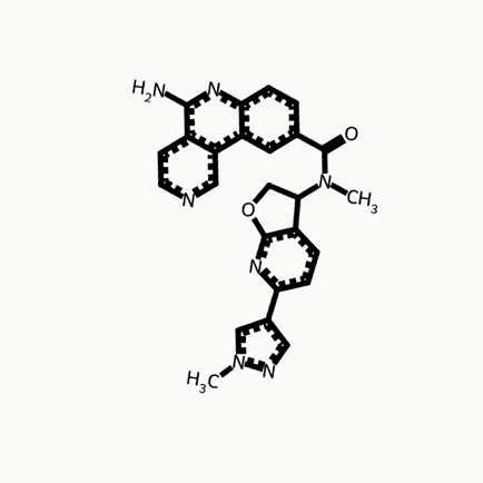 CN(C(=O)c1ccc2nc(N)c3ccncc3c2c1)C1COc2nc(-c3cnn(C)c3)ccc21